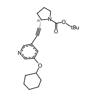 CC(C)(C)OC(=O)N1CCC[C@H]1C#Cc1cncc(OC2CCCCC2)c1